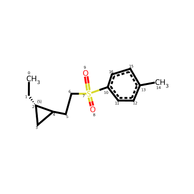 CC[C@H]1CC1CCS(=O)(=O)c1ccc(C)cc1